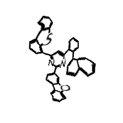 c1ccc(-c2cccc3ccccc23)c(-c2cc(-c3cccc4c3sc3ccccc34)nc(-c3ccc4c(c3)oc3ccccc34)n2)c1